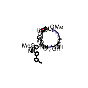 C#Cc1cccc(-c2cccc(-c3cnnn3[C@H]3CC[C@@H](C[C@@H](N)[C@@H]4CC(=O)[C@H](C)/C=C(\C)[C@@H](O)[C@@H](O)C(=O)[C@H](C)C[C@H](C)/C=C/C=C/C=C(\C)[C@@H](OC)C[C@@H]5CC[C@@H](C)[C@@](O)(O5)C(=O)C(=O)N5CCCC[C@H]5C(=O)O4)C[C@H]3OC)c2)c1